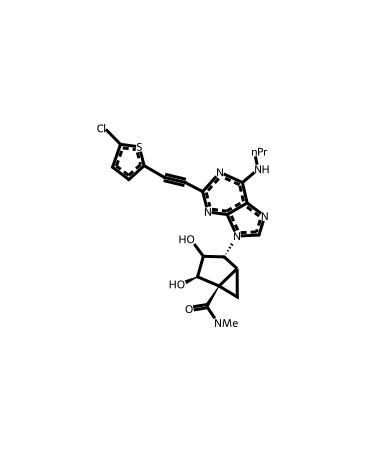 CCCNc1nc(C#Cc2ccc(Cl)s2)nc2c1ncn2[C@H]1C(O)[C@H](O)[C@@]2(C(=O)NC)CC12